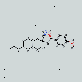 CCCC1CCC2CC(C#N)(CC(=O)c3ccc(OC)cc3)CCC2C1